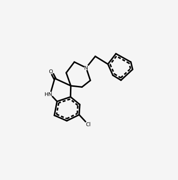 O=C1Nc2ccc(Cl)cc2C12CCN(Cc1ccccc1)CC2